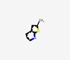 Cc1cc2cccnc2s1